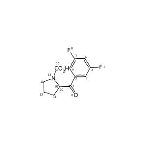 O=C(c1cc(F)cc(F)c1)[C@H]1CCCN1C(=O)O